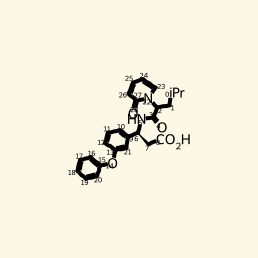 CC(C)CC(C(=O)N[C@@H](CC(=O)O)c1cccc(Oc2ccccc2)c1)n1ccccc1=O